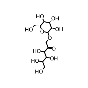 O=C(COC1O[C@H](CO)[C@@H](O)[C@H](O)[C@H]1O)C(O)C(O)C(O)CO